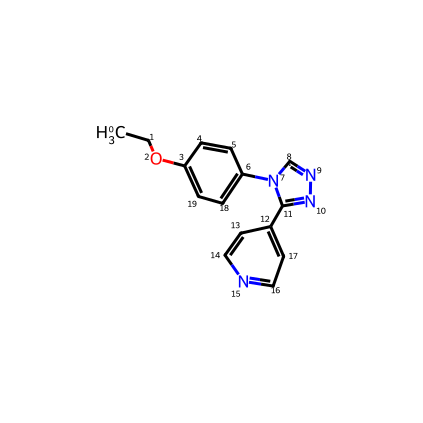 CCOc1ccc(-n2[c]nnc2-c2ccncc2)cc1